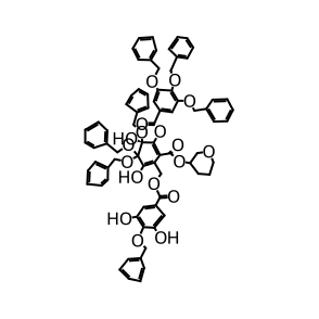 O=C(OC1CCCOC1)C1=C(OC(=O)c2cc(OCc3ccccc3)c(OCc3ccccc3)c(OCc3ccccc3)c2)[C@@](O)(OCc2ccccc2)C(OCc2ccccc2)(OCc2ccccc2)C(O)=C1COC(=O)c1cc(O)c(OCc2ccccc2)c(O)c1